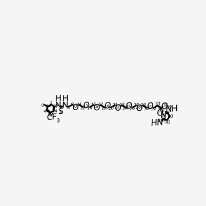 Cc1cc(NC(=S)NCCOCCOCCOCCOCCOCCOCCOCCOCCC(=O)ON2C(=N)CCC2=N)cc(C(F)(F)F)c1